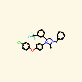 C=C1N(Cc2ccccc2)CC(c2cccc(C(F)(F)F)c2)N1c1ccc(Oc2ccc(Cl)cc2)cc1